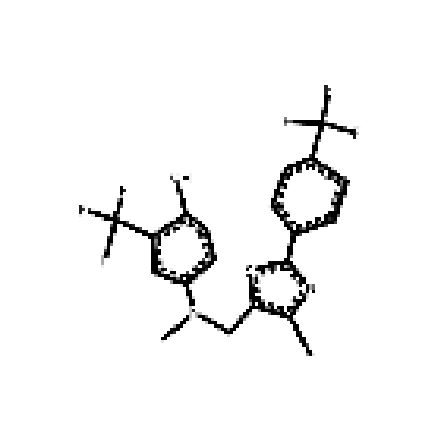 Cc1nc(-c2ccc(C(F)(F)F)cc2)sc1CN(C)c1ccc(O)c(C(F)(F)F)c1